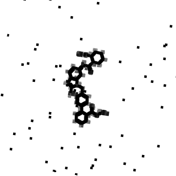 CCCCc1nc2c(n1Cc1ccc(-c3ccccc3C(=O)OC(C)(C)C)cc1)CC(=NC(=O)[C@@H]1CCCC[C@@H]1C=O)C=C2